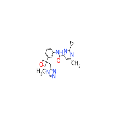 Cc1cc(C(=O)Nc2cccc(C3(Cc4nncn4C)COC3)c2)nc(C2CC2)n1